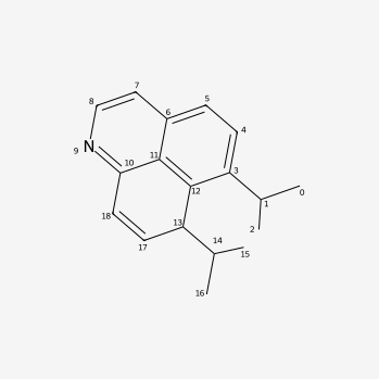 CC(C)c1ccc2ccnc3c2c1C(C(C)C)C=C3